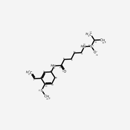 C=CC1=CC(NC(=O)CCCCN[S+]([O-])C(C)C)CC=C1SC